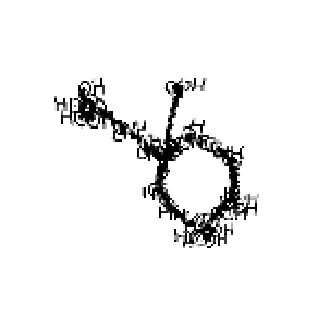 O=C(O)CCCCCCCCCCC(=O)NC1(COCCC(=O)NCCCNC(=O)CCCCO[C@H]2OC(CO)[C@@H](O)C(O)C2O)COCCC(=O)NCCCNCC(=O)CCCCO[C@H]2OC(COC(O[C@H]3OC(CO)[C@@H](O)C(O)C3O)CCCC(=O)CNCCCNC(=O)CCOC1)[C@@H](O)C(O)C2O